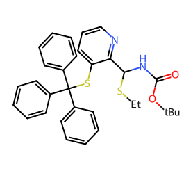 CCSC(NC(=O)OC(C)(C)C)c1ncccc1SC(c1ccccc1)(c1ccccc1)c1ccccc1